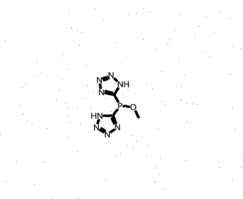 COP(c1nnn[nH]1)c1nnn[nH]1